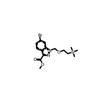 COC(=O)c1nn(COCC[Si](C)(C)C)c2cc(Br)ccc12